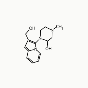 CN1CCN(c2c(CO)cc3ccccn23)C(O)C1